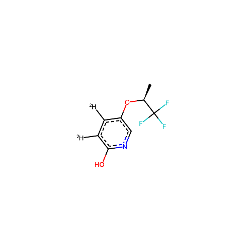 [2H]c1c(O[C@@H](C)C(F)(F)F)cnc(O)c1[2H]